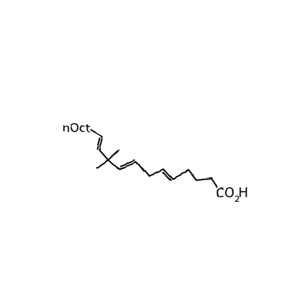 CCCCCCCC/C=C/C(C)(C)/C=C/C/C=C/CCCC(=O)O